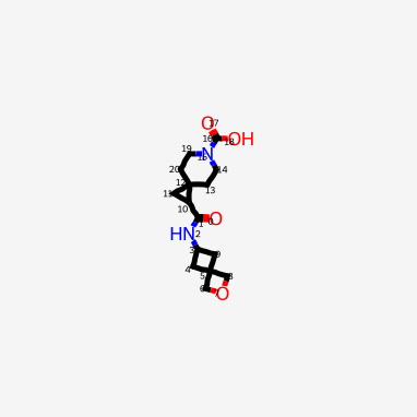 O=C(NC1CC2(COC2)C1)C1CC12CCN(C(=O)O)CC2